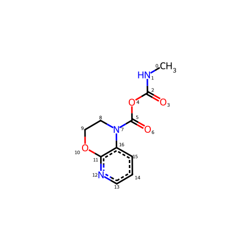 CNC(=O)OC(=O)N1CCOc2ncccc21